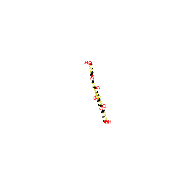 O=C(CSCC[S+]([O-])CSCSC(=O)CSCCOOCCSCSCO)OCCSCSCO